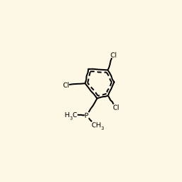 CP(C)c1c(Cl)cc(Cl)cc1Cl